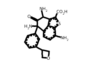 Nc1ccc2c3c(c(C(=O)O)sc13)C(N)C(=O)C2(N)c1cccc(C2COC2)c1